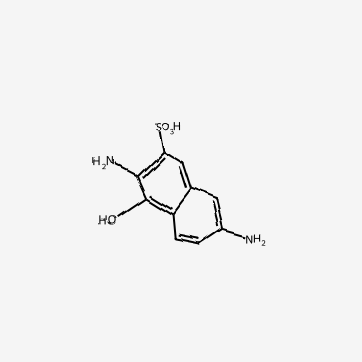 Nc1ccc2c(O)c(N)c(S(=O)(=O)O)cc2c1